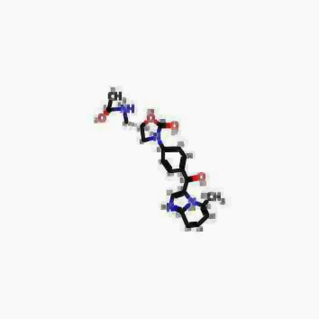 CC(=O)NC[C@H]1CN(c2ccc(C(=O)c3cnc4cccc(C)n34)cc2)C(=O)O1